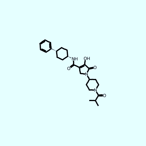 CC(C)C(=O)N1CCC(N2CC(C(=O)N[C@H]3CC[C@@H](c4ccccc4)CC3)=C(O)C2=O)CC1